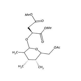 COC(=O)C[C@H](OC1OC(COC(C)=O)[C@H](C)[C@H](C)C1C)C(=O)OC